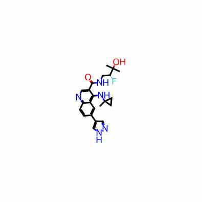 CC1(Nc2c(C(=O)NC[C@@H](F)C(C)(C)O)cnc3ccc(-c4cn[nH]c4)cc23)CC1